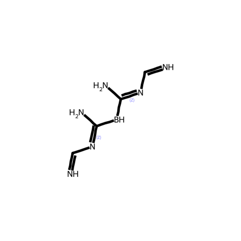 N=C/N=C(\N)B/C(N)=N/C=N